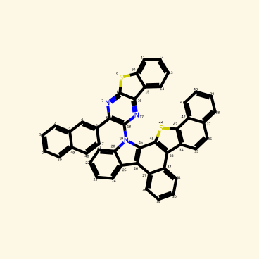 c1ccc2cc(-c3nc4sc5ccccc5c4nc3-n3c4ccccc4c4c5ccccc5c5c6ccc7ccccc7c6sc5c43)ccc2c1